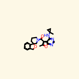 Cc1oc2ncnc(NC3(C)CC3)c2c1C(=O)N1CCCC2(C1)OCc1ccccc12